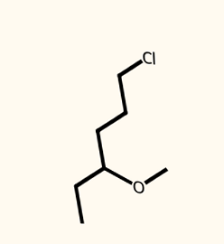 CCC(CCCCl)OC